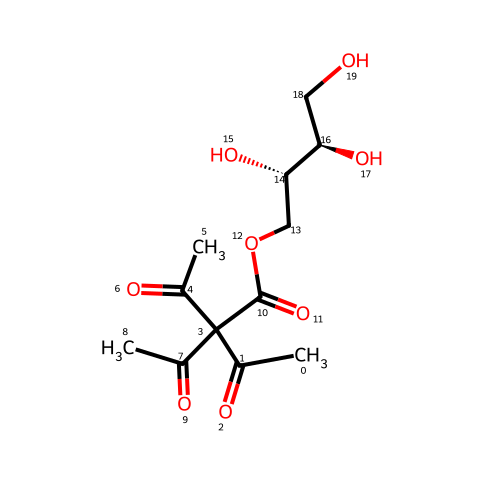 CC(=O)C(C(C)=O)(C(C)=O)C(=O)OC[C@H](O)[C@H](O)CO